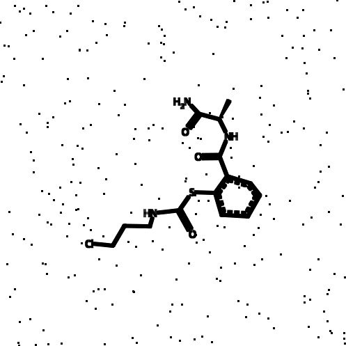 C[C@@H](NC(=O)c1ccccc1SC(=O)NCCCCl)C(N)=O